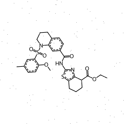 CCOC(=O)C1CCCc2sc(NC(=O)c3ccc4c(c3)N(S(=O)(=O)c3cc(C)ccc3OC)CCC4)nc21